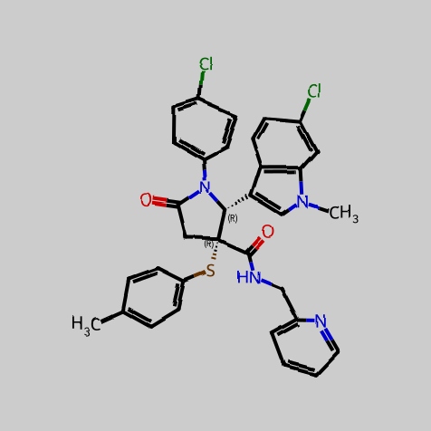 Cc1ccc(S[C@]2(C(=O)NCc3ccccn3)CC(=O)N(c3ccc(Cl)cc3)[C@@H]2c2cn(C)c3cc(Cl)ccc23)cc1